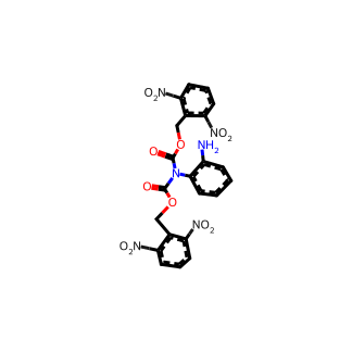 Nc1ccccc1N(C(=O)OCc1c([N+](=O)[O-])cccc1[N+](=O)[O-])C(=O)OCc1c([N+](=O)[O-])cccc1[N+](=O)[O-]